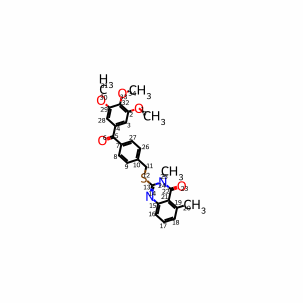 COc1cc(C(=O)c2ccc(CSc3nc4cccc(C)c4c(=O)n3C)cc2)cc(OC)c1OC